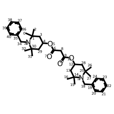 CC1(C)CC(OC(=O)CC(=O)OC2CC(C)(C)N(Cc3ccccc3)C(C)(C)C2)CC(C)(C)N1Cc1ccccc1